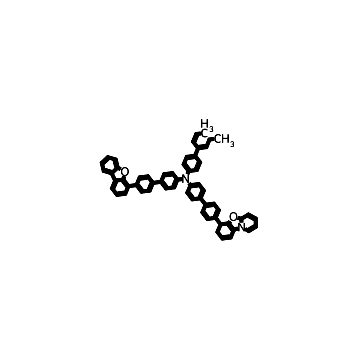 C/C=C\C(=C/CC)c1ccc(N(c2ccc(-c3ccc(-c4cccc5c4oc4ccccc45)cc3)cc2)c2ccc(-c3ccc(C4CC=CC5=C4OC4C=CC=CN54)cc3)cc2)cc1